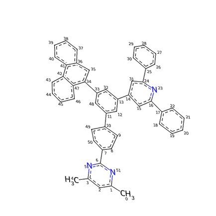 Cc1cc(C)nc(-c2ccc(-c3cc(-c4cc(-c5ccccc5)nc(-c5ccccc5)c4)cc(-c4cc5ccccc5c5ccccc45)c3)cc2)n1